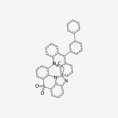 CCc1nc2cccc3c2n1-c1c(-c2c4ccccc4c(-c4cccc(-c5ccccc5)c4)c4ccccc24)cccc1S3(=O)=O